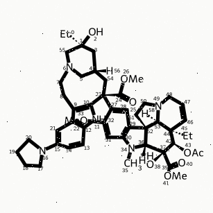 CC[C@]1(O)C[C@H]2CN(CCc3c([nH]c4ccc(N5CCCC5)cc34)[C@@](C(=O)OC)(c3cc4c(cc3OC)N(C)[C@H]3[C@@](O)(C(=O)OC)[C@H](OC(C)=O)[C@]5(CC)C=CCN6CC[C@]43[C@@H]65)C2)C1